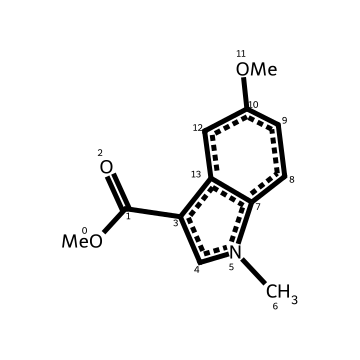 COC(=O)c1cn(C)c2ccc(OC)cc12